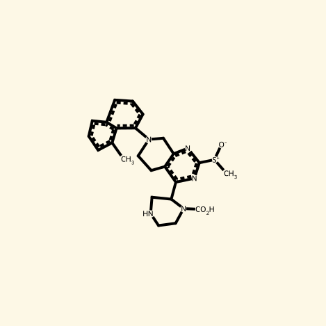 Cc1cccc2cccc(N3CCc4c(nc([S+](C)[O-])nc4C4CNCCN4C(=O)O)C3)c12